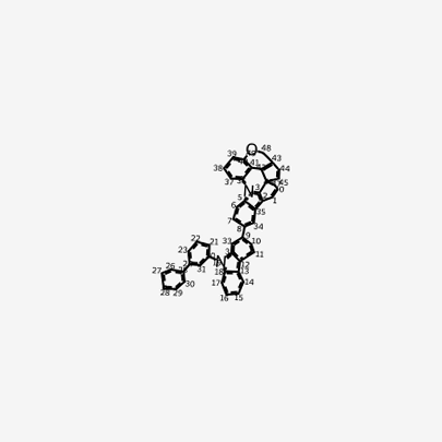 C1=Cc2c3n(c4ccc(-c5ccc6c7ccccc7n(-c7cccc(-c8ccccc8)c7)c6c5)cc24)-c2cccc4c2C2=C(C=CC23C1)CO4